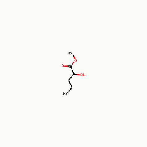 CCC(C)OC(=O)C(O)CCC#N